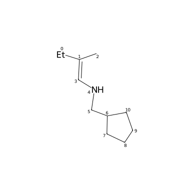 CC/C(C)=C/NCC1CCCC1